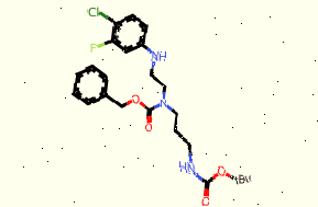 CC(C)(C)OC(=O)NCCCN(CCNc1ccc(Cl)c(F)c1)C(=O)OCc1ccccc1